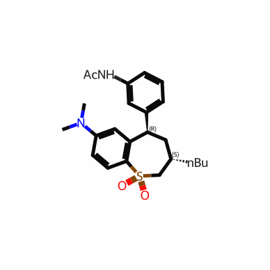 CCCC[C@H]1C[C@H](c2cccc(NC(C)=O)c2)c2cc(N(C)C)ccc2S(=O)(=O)C1